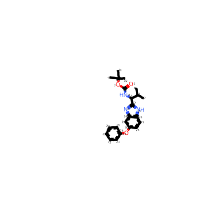 CC(C)C(NC(=O)OC(C)(C)C)c1nc2cc(Oc3ccccc3)ccc2[nH]1